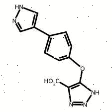 O=C(O)c1nn[nH]c1Oc1ccc(-c2cn[nH]c2)cc1